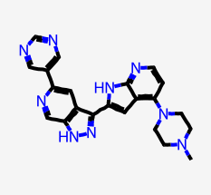 CN1CCN(c2ccnc3[nH]c(-c4n[nH]c5cnc(-c6cncnc6)cc45)cc23)CC1